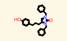 O=c1n(Cc2ccccc2)cc(CCCc2ccc(O)cc2)n1Cc1ccccc1